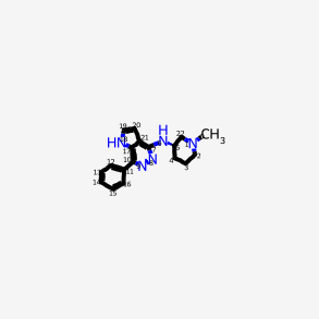 CN1CCC[C@@H](Nc2nnc(-c3ccccc3)c3[nH]ccc23)C1